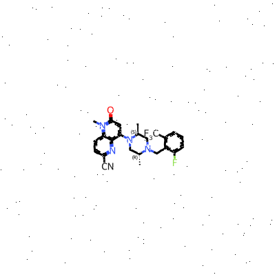 C[C@@H]1CN(c2cc(=O)n(C)c3ccc(C#N)nc23)[C@@H](C)CN1Cc1c(F)cccc1C(F)(F)F